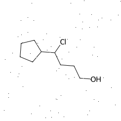 OCCCC(Cl)C1CCCC1